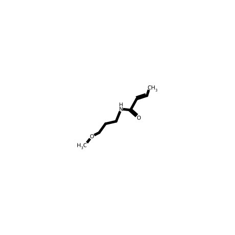 CC=CC(=O)NCCCOC